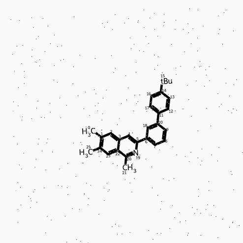 Cc1cc2cc(-c3cccc(-c4ccc(C(C)(C)C)cc4)c3)nc(C)c2cc1C